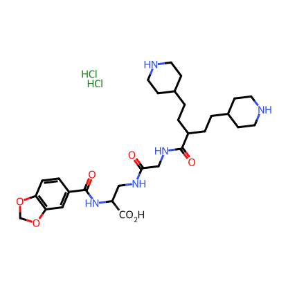 Cl.Cl.O=C(CNC(=O)C(CCC1CCNCC1)CCC1CCNCC1)NCC(NC(=O)c1ccc2c(c1)OCO2)C(=O)O